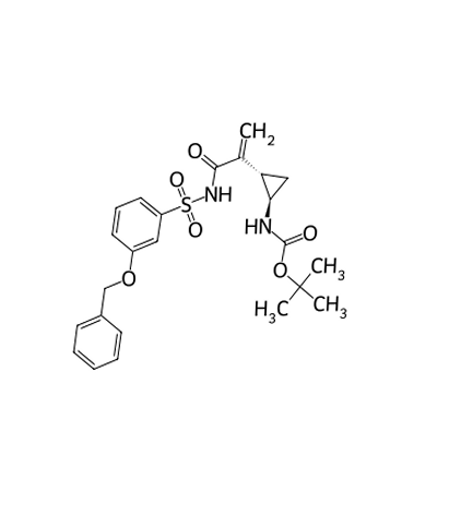 C=C(C(=O)NS(=O)(=O)c1cccc(OCc2ccccc2)c1)[C@@H]1C[C@H]1NC(=O)OC(C)(C)C